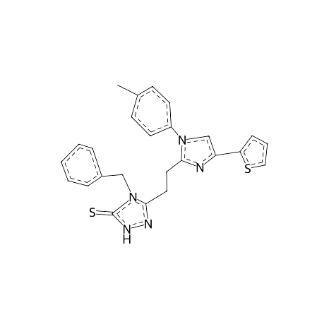 Cc1ccc(-n2cc(-c3cccs3)nc2CCc2n[nH]c(=S)n2Cc2ccccc2)cc1